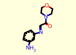 Nc1cccc(/N=C/C(=O)N2CCOCC2)c1